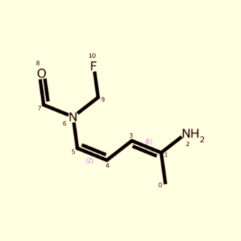 C/C(N)=C\C=C/N(C=O)CF